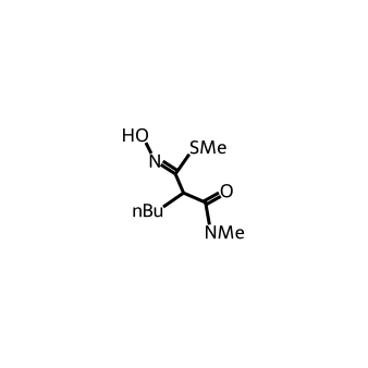 CCCCC(C(=O)NC)/C(=N/O)SC